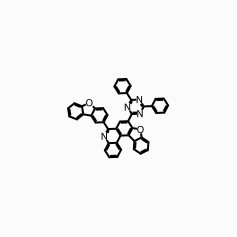 c1ccc(-c2nc(-c3ccccc3)nc(-c3cc4c(-c5ccc6oc7ccccc7c6c5)nc5ccccc5c4c4c3oc3ccccc34)n2)cc1